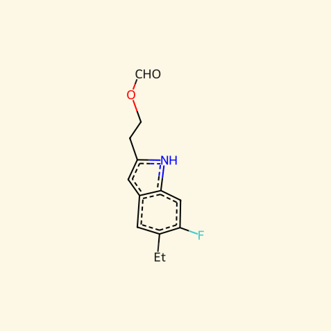 CCc1cc2cc(CCOC=O)[nH]c2cc1F